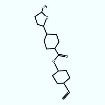 C=CC1CCC(OC(=O)C2CCC(C3CCC(CCC)O3)CC2)CC1